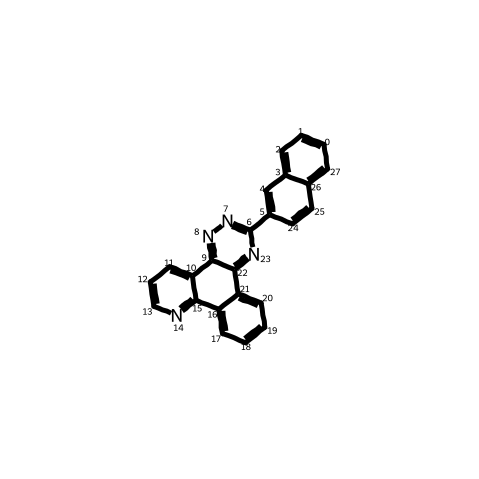 c1ccc2cc(-c3nnc4c5cccnc5c5ccccc5c4n3)ccc2c1